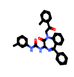 Cc1cccc(NC(=O)NC2N=C(c3ccccc3)c3ccccc3N(CC(=O)c3ccccc3C)C2=O)c1